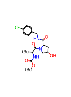 CC(C)(C)OC(=O)NC(C(=O)N1C[C@H](O)C[C@H]1C(=O)NCc1ccc(Cl)cc1)C(C)(C)C